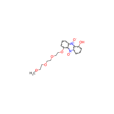 COCCOCCOCCOc1cccc2c1[n+]([O-])c1cccc(O)c1[n+]2[O-]